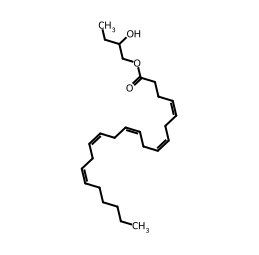 CCCCC/C=C\C/C=C\C/C=C\C/C=C\C/C=C\CCC(=O)OCC(O)CC